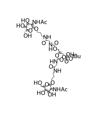 CC(=O)N[C@H]1[C@H](OCCCNC(=O)CNC(=O)OC[C@@H](COP(=O)(O)OC(C)(C)C)OC(=O)NCC(=O)NCCCO[C@@H]2O[C@H](CO)[C@H](O)[C@H](O)[C@H]2NC(C)=O)O[C@H](CO)[C@H](O)[C@@H]1O